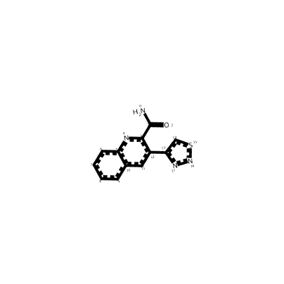 NC(=O)c1nc2ccccc2cc1-c1csnn1